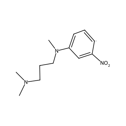 CN(C)CCCN(C)c1cc[c]c([N+](=O)[O-])c1